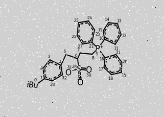 CCC(C)c1ccc(CC(CC[P+](c2ccccc2)(c2ccccc2)c2ccccc2)S(=O)(=O)[O-])cc1